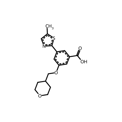 Cc1cnc(-c2cc(OCC3CCOCC3)cc(C(=O)O)c2)s1